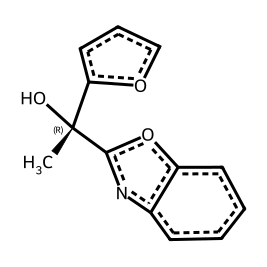 C[C@@](O)(c1ccco1)c1nc2ccccc2o1